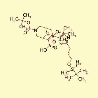 CC(C)(C)OC(=O)N1CC2CC(c3cnc(CCCO[Si](C)(C)C(C)(C)C)s3)=C(C(=O)O)C(C1)N2C(=O)OC(C)(C)C